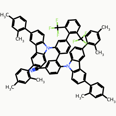 Cc1ccc(-c2ccc3c(c2)c2cc(-c4ccc(C)cc4C)ccc2n3-c2ccc(C#N)cc2-c2ccc(-c3c(C(F)(F)F)cccc3C(F)(F)F)cc2-n2c3ccc(-c4ccc(C)cc4C)cc3c3cc(-c4ccc(C)cc4C)ccc32)c(C)c1